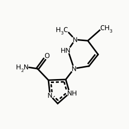 CC1C=CN(c2[nH]cnc2C(N)=O)NN1C